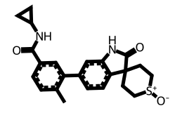 Cc1ccc(C(=O)NC2CC2)cc1-c1ccc2c(c1)NC(=O)C21CC[S+]([O-])CC1